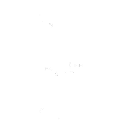 Br.Br.CCCCCCN(NCCc1ccc2[nH]c(=O)sc2c1)C1CCc2c(ccc(O)c2O)C1